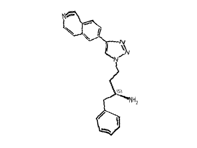 N[C@H](CCn1cc(-c2ccc3cnccc3c2)nn1)Cc1ccccc1